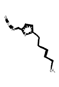 CCCCCCc1ccc(N=C=O)s1